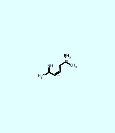 B[C@H](C)C/C=C\C(C)=N